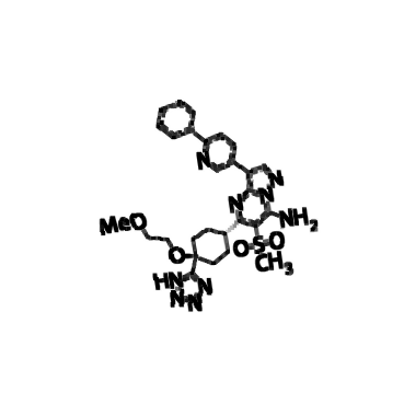 COCCO[C@]1(c2nnn[nH]2)CC[C@@H](c2nc3c(-c4ccc(-c5ccccc5)nc4)cnn3c(N)c2S(C)(=O)=O)CC1